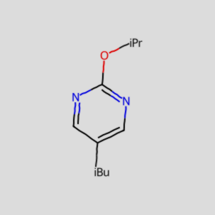 CCC(C)c1cnc(OC(C)C)nc1